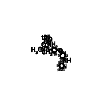 CN(C)C(=O)[C@H](Cc1ccc(Oc2ccc(Nc3ccccn3)cc2)cc1)NC(=O)OC(C)(C)C